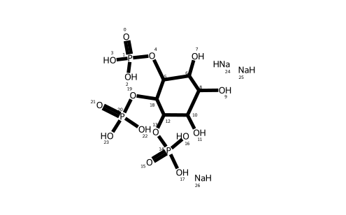 O=P(O)(O)OC1C(O)C(O)C(O)C(OP(=O)(O)O)C1OP(=O)(O)O.[NaH].[NaH].[NaH]